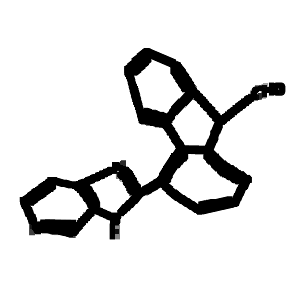 O=CC1c2ccccc2-c2c(-c3nc4ccncc4[nH]3)cccc21